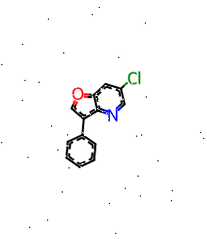 Clc1cnc2c(-c3ccccc3)coc2c1